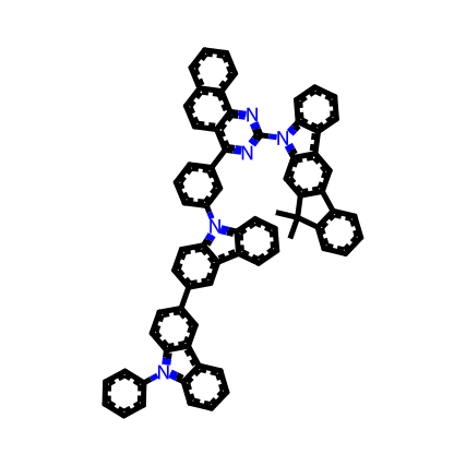 CC1(C)c2ccccc2-c2cc3c4ccccc4n(-c4nc(-c5cccc(-n6c7ccccc7c7cc(-c8ccc9c(c8)c8ccccc8n9-c8ccccc8)ccc76)c5)c5ccc6ccccc6c5n4)c3cc21